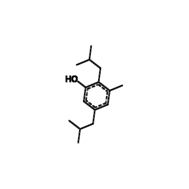 Cc1cc(CC(C)C)cc(O)c1CC(C)C